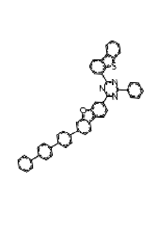 c1ccc(-c2ccc(-c3ccc(-c4ccc5c(c4)oc4cc(-c6nc(-c7ccccc7)nc(-c7cccc8c7sc7ccccc78)n6)ccc45)cc3)cc2)cc1